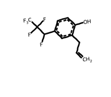 C=CCc1cc(C(F)C(F)(F)C(F)(F)F)ccc1O